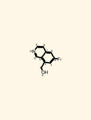 OCc1cc(F)cc2ccncc12